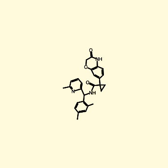 Cc1ccc(C(NC(=O)C2(c3ccc4c(c3)OCC(=O)N4)CC2)c2cccc(C)n2)c(C)c1